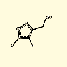 Cc1c(CC(C)(C)C)no[n+]1[O-]